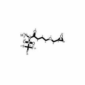 NN(C(=O)CCCOCC1CO1)S(=O)(=O)C(F)(F)F